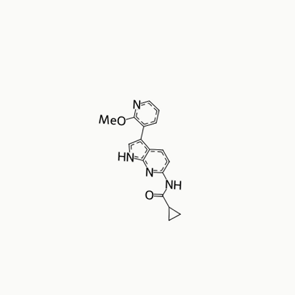 COc1ncccc1-c1c[nH]c2nc(NC(=O)C3CC3)ccc12